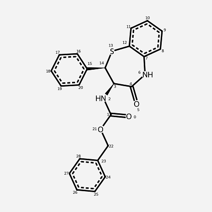 O=C(N[C@@H]1C(=O)Nc2ccccc2S[C@@H]1c1ccccc1)OCc1ccccc1